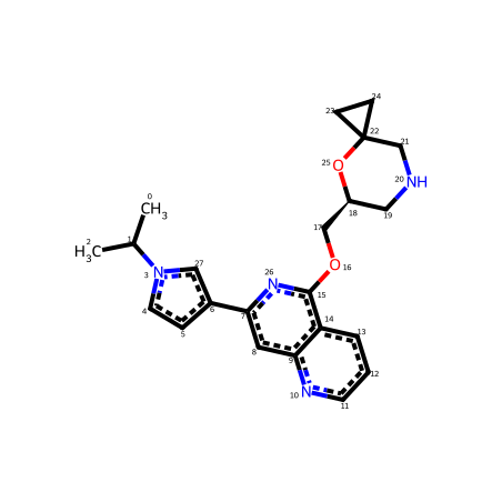 CC(C)n1ccc(-c2cc3ncccc3c(OC[C@@H]3CNCC4(CC4)O3)n2)c1